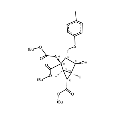 Cc1ccc(SC[C@@H]2[C@@H](O)[C@H]3[C@H](C(=O)OC(C)(C)C)[C@H]3[C@]2(NC(=O)OC(C)(C)C)C(=O)OC(C)(C)C)cc1